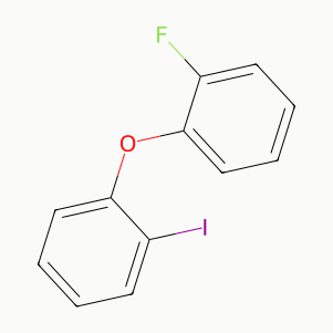 Fc1ccccc1Oc1ccccc1I